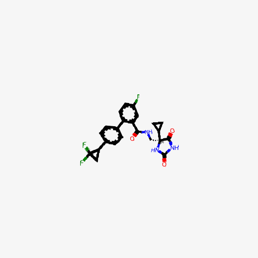 O=C1NC(=O)[C@](CNC(=O)c2cc(F)ccc2-c2ccc(C3CC3(F)F)cc2)(C2CC2)N1